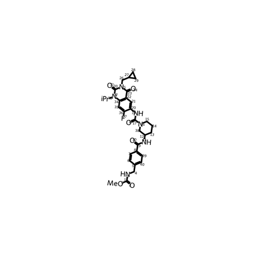 COC(=O)NCc1ccc(C(=O)NC2CCCN(C(=O)Nc3cc4c(=O)n(CC5CC5)c(=O)n(C(C)C)c4cc3F)C2)cc1